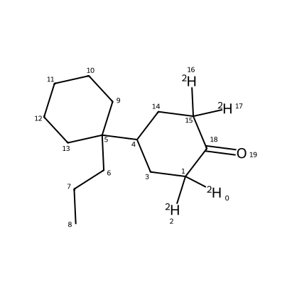 [2H]C1([2H])CC(C2(CCC)CCCCC2)CC([2H])([2H])C1=O